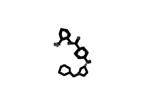 Nc1ccccc1NC(=O)c1ccc(N[C@@H]2CCN(CC3CCCCC3)C2)cc1